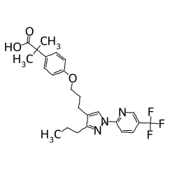 CCCc1nn(-c2ccc(C(F)(F)F)cn2)cc1CCCOc1ccc(C(C)(C)C(=O)O)cc1